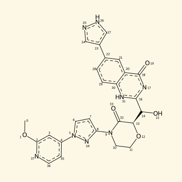 COc1cc(-n2ccc(N3CCO[C@H](C(O)c4nc(=O)c5cc(-c6cn[nH]c6)ccc5[nH]4)C3=O)n2)ccn1